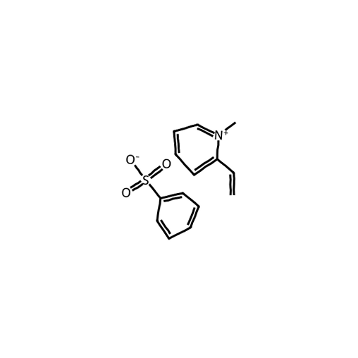 C=Cc1cccc[n+]1C.O=S(=O)([O-])c1ccccc1